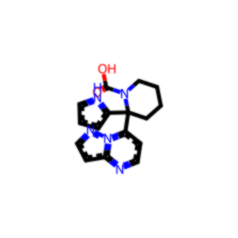 O=C(O)N1CCCCC1(c1ccc[nH]1)c1ccnc2ccnn12